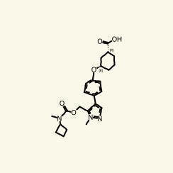 CN(C(=O)OCc1c(-c2ccc(O[C@@H]3CCC[C@@H](C(=O)O)C3)cc2)cnn1C)C1CCC1